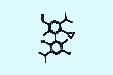 C=Cc1cc(C(C)C)c(C2CC2)c(-c2c(C)c(Br)cc(C(C)C)c2O)c1C